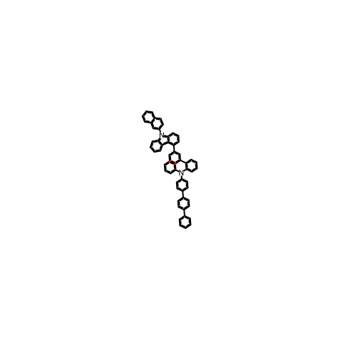 c1ccc(-c2ccc(-c3ccc(N(c4ccccc4)c4ccccc4-c4cccc(-c5cccc6c5c5ccccc5n6-c5ccc6ccccc6c5)c4)cc3)cc2)cc1